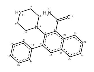 NC(=O)c1c(N2CCNCC2)c(-c2ccccc2)cc2ccccc12